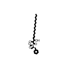 CCCCCCCCCCCCC/C=C/C(O)C(Cl)C(=O)N1C(=O)OC[C@@H]1Cc1ccccc1